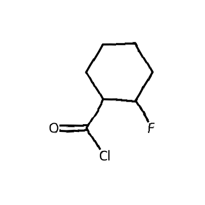 O=C(Cl)C1CCCCC1F